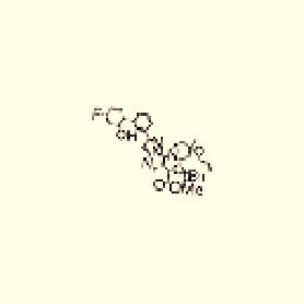 C=CCOC1(C)CCN(c2c([C@H](OC(C)(C)C)C(=O)OC)c(C)nc3cc(-c4cccc(-c5ccc(F)cc5O)c4)nn23)CC1